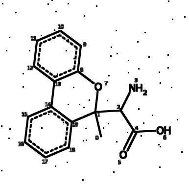 CC1(C(N)C(=O)O)Oc2ccccc2-c2ccccc21